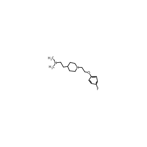 CN(C)CCC1CCN(CCOc2ccc(F)cc2)CC1